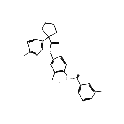 COc1cc(NC(=O)C2(c3ccc(Br)cc3)CCCC2)ccc1NC(=O)c1cccc(Cl)c1